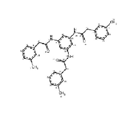 Cc1cccc(CC(=O)Nc2cc(NC(=O)Cc3cccc(C)c3)cc(NC(=O)Cc3cccc(C)c3)c2)c1